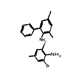 Cc1cc(C)c(N)c(-c2ccccc2)c1.Cc1cc(C)c(N)c(Br)c1